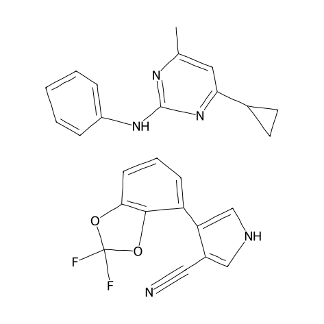 Cc1cc(C2CC2)nc(Nc2ccccc2)n1.N#Cc1c[nH]cc1-c1cccc2c1OC(F)(F)O2